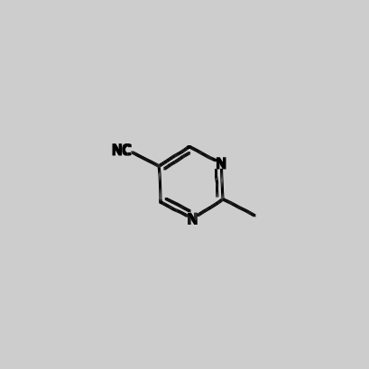 Cc1ncc(C#N)cn1